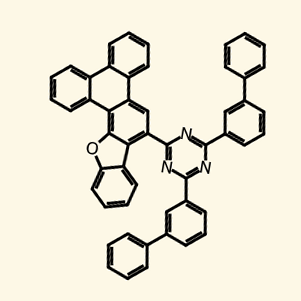 c1ccc(-c2cccc(-c3nc(-c4cccc(-c5ccccc5)c4)nc(-c4cc5c6ccccc6c6ccccc6c5c5oc6ccccc6c45)n3)c2)cc1